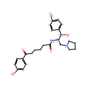 O=C(CCCCC(=O)c1ccc(O)cc1)N[C@H](CN1CCCC1)[C@H](O)c1ccc(C(F)(F)F)cc1